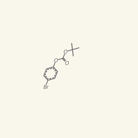 CC(C)(C)OC(=O)Oc1ccc(Br)cc1